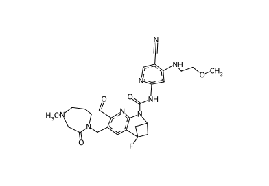 COCCNc1cc(NC(=O)N2c3nc(C=O)c(CN4CCCN(C)CC4=O)cc3C3(F)CC2C3)ncc1C#N